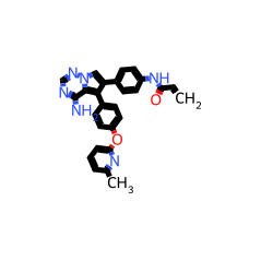 C=CC(=O)Nc1ccc(-c2cn3ncnc(N)c3c2-c2ccc(Oc3cccc(C)n3)cc2)cc1